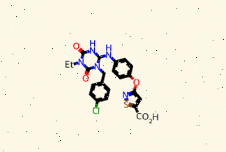 CCN1C(=O)NC(Nc2ccc(Oc3cc(C(=O)O)sn3)cc2)N(Cc2ccc(Cl)cc2)C1=O